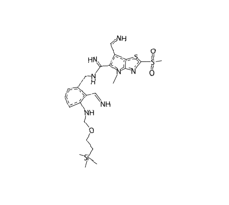 Cn1c(C(=N)NCc2cccc(NCOCC[Si](C)(C)C)c2C=N)c(C=N)c2sc(S(C)(=O)=O)nc21